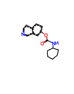 O=C(NC1CCCCC1)Oc1ccc2ccncc2c1